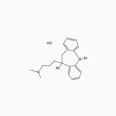 CCN1c2ccccc2CC(C#N)(CCCN(C)C)c2ccccc21.Cl